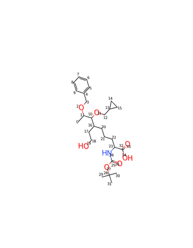 CC(OCc1ccccc1)C(OCC1CC1)C(CCO)CCCC(NC(=O)OC(C)(C)C)C(=O)O